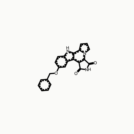 O=C1NC(=O)c2c1c1c3cc(OCc4ccccc4)ccc3[nH]c1c1cccn21